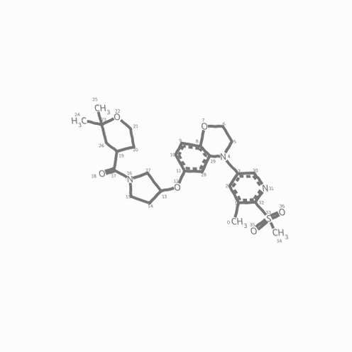 Cc1cc(N2CCOc3ccc(OC4CCN(C(=O)C5CCOC(C)(C)C5)C4)cc32)cnc1S(C)(=O)=O